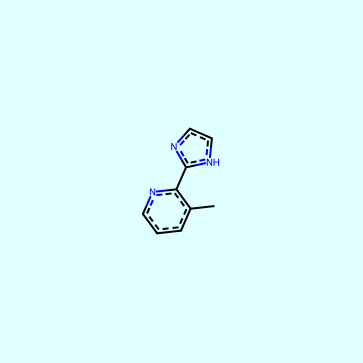 Cc1cccnc1-c1ncc[nH]1